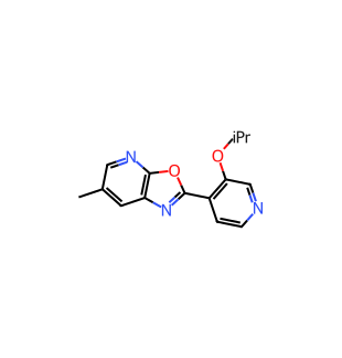 Cc1cnc2oc(-c3ccncc3OC(C)C)nc2c1